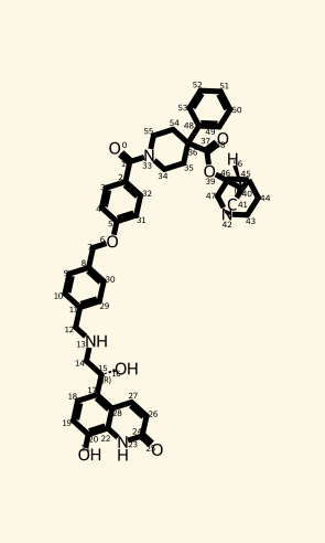 O=C(c1ccc(OCc2ccc(CNC[C@H](O)c3ccc(O)c4[nH]c(=O)ccc34)cc2)cc1)N1CCC(C(=O)O[C@H]2CN3CCC2CC3)(c2ccccc2)CC1